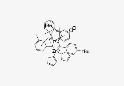 CC1=CC=CC2[CH]([Zr+2]([C]3=CC=CC3)([C]3=CC=CC3)=[C](c3ccc(C(C)(C)C)cc3)c3ccc(C(C)(C)C)cc3)C3(C)C4(C)C=CC=CC4(C)C4(C)C=CC=CC4(C)C3(C)C12C.[Cl-].[Cl-]